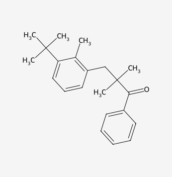 Cc1c(CC(C)(C)C(=O)c2ccccc2)cccc1C(C)(C)C